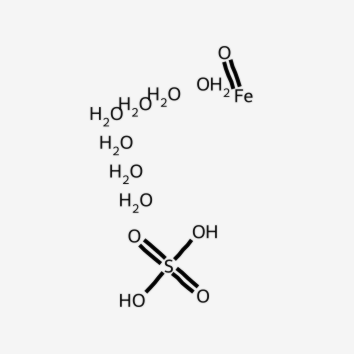 O.O.O.O.O.O.O.O=S(=O)(O)O.[O]=[Fe]